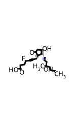 CCCCC(C)(O)C/C=C/[C@H]1[C@H](O)CC(=O)[C@@H]1CC#CC(F)CCC(=O)O